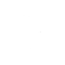 [CH2]C(=O)CCCC(O)CCC(C)C